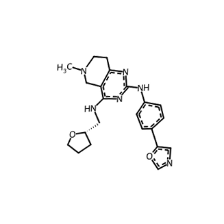 CN1CCc2nc(Nc3ccc(-c4cnco4)cc3)nc(NC[C@@H]3CCCO3)c2C1